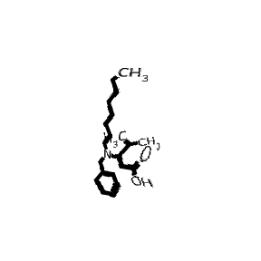 CCCCCCCCN(Cc1ccccc1)C(CC(=O)O)C(C)C